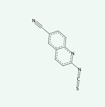 N#Cc1ccc2nc(N=C=S)ccc2c1